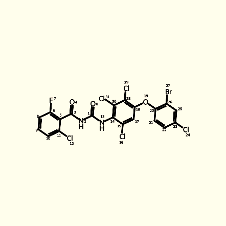 O=C(NC(=O)c1c(F)cccc1Cl)Nc1c(Cl)cc(Oc2ccc(Cl)cc2Br)c(Cl)c1Cl